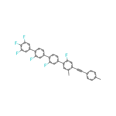 Cc1ccc(C#Cc2cc(F)c(-c3ccc(-c4ccc(-c5cc(F)c(F)c(F)c5)c(F)c4)c(F)c3)cc2C)cc1